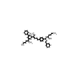 C=C/C=C/C(=N)/N=C(\N=C\C1=CCCC=C1)c1ccc(/C=C/C=C(\C=C)c2nc(C3=CC=CCC3)cc(/C(C)=C/C=C/Cl)n2)cc1